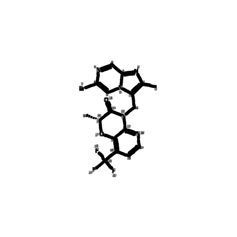 Cc1nc2cnc(Br)cn2c1CN1C(=O)[C@@H](C)Oc2c(C(F)(F)F)ccnc21